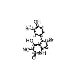 N#Cc1c(O)c2c(-c3ccc(O)c(Br)c3)c(Br)sc2[nH]c1=O